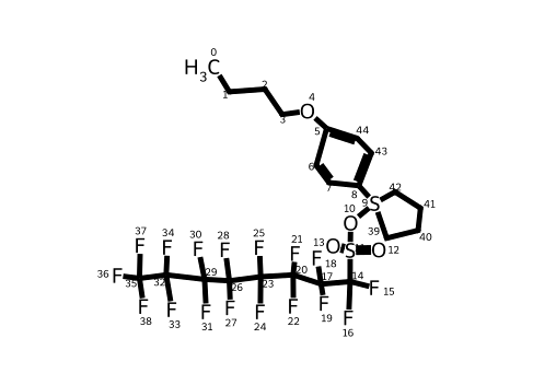 CCCCOc1ccc(S2(OS(=O)(=O)C(F)(F)C(F)(F)C(F)(F)C(F)(F)C(F)(F)C(F)(F)C(F)(F)C(F)(F)F)CCCC2)cc1